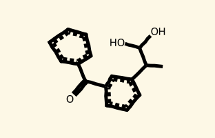 CC(c1cccc(C(=O)c2ccccc2)c1)C(O)O